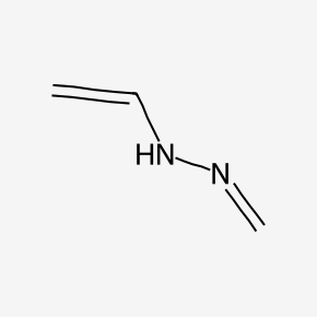 C=CNN=C